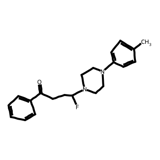 Cc1ccc(N2CCN(C(F)CCC(=O)c3ccccc3)CC2)cc1